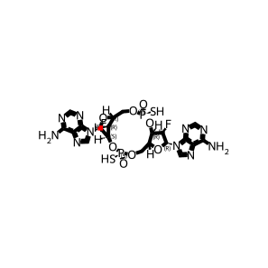 Nc1ncnc2c1ncn2[C@@H]1O[C@@H]2CO[P@](=O)(S)O[C@@H]3[C@H](F)[C@@H](CO[P@](=O)(S)O[C@H]2[C@H]1F)O[C@H]3n1cnc2c(N)ncnc21